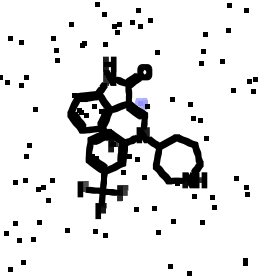 O=C1Nc2cccc(F)c2/C1=C\N(c1cccc(C(F)(F)F)c1)C1CCCNCC1